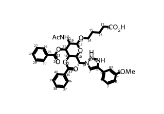 COc1cccc(C2=CN(CC3OC(OCCCCC(=O)O)C(NC(C)=O)C(OC(=O)c4ccccc4)C3OC(=O)c3ccccc3)NN2)c1